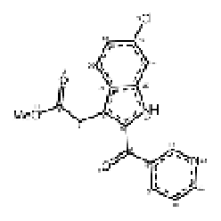 COC(=O)Cc1c(C(=O)c2cccnc2)[nH]c2cc(Cl)ccc12